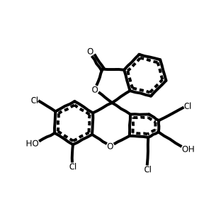 O=C1OC2(c3ccccc31)c1cc(Cl)c(O)c(Cl)c1Oc1c2cc(Cl)c(O)c1Cl